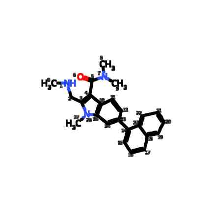 CNCc1c(C(=O)N(C)C)c2ccc(-c3cccc4ccccc34)cc2n1C